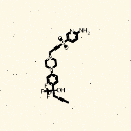 CC#CC[C@@](O)(c1ccc(N2CCN(CC#CS(=O)(=O)c3ccc(N)nc3)CC2)cc1)C(F)(F)F